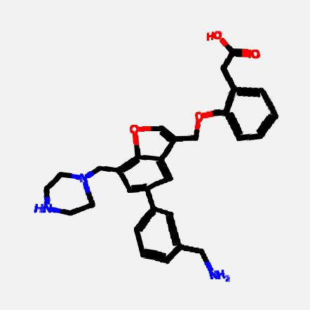 NCc1cccc(-c2cc(CN3CCNCC3)c3occ(COc4ccccc4CC(=O)O)c3c2)c1